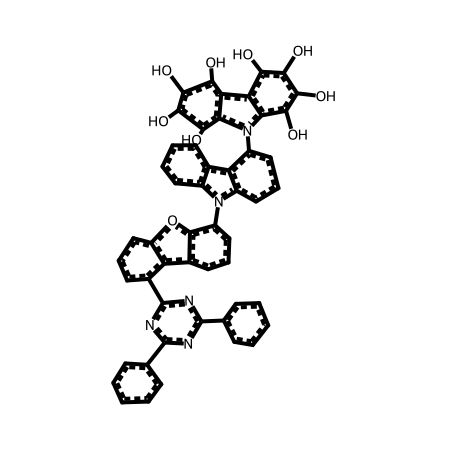 Oc1c(O)c(O)c2c(c1O)c1c(O)c(O)c(O)c(O)c1n2-c1cccc2c1c1ccccc1n2-c1cccc2c1oc1cccc(-c3nc(-c4ccccc4)nc(-c4ccccc4)n3)c12